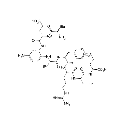 CC[C@H](C)[C@H](N)C(=O)N[C@@H](CCC(=O)O)C(=O)N[C@@H](CC(N)=O)C(=O)N[C@H](C(=O)N[C@@H](Cc1ccccc1)C(=O)N[C@@H](CCCNC(=N)N)C(=O)N[C@@H](CC(C)C)C(=O)N[C@@H](CCC(=O)O)C(=O)O)C(C)C